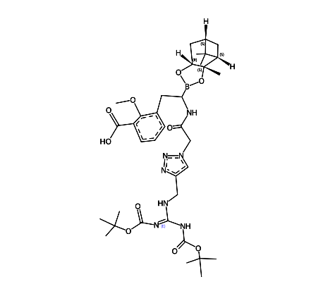 COc1c(CC(NC(=O)Cn2cc(CN/C(=N\C(=O)OC(C)(C)C)NC(=O)OC(C)(C)C)nn2)B2O[C@@H]3C[C@@H]4C[C@@H](C4(C)C)[C@]3(C)O2)cccc1C(=O)O